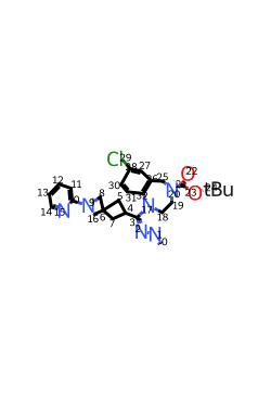 C=N/N=C(/C1CC2(C1)CN(c1ccccn1)C2)N1CCN(C(=O)OC(C)(C)C)Cc2cc(Cl)ccc21